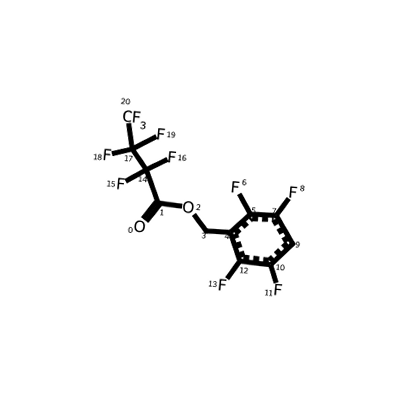 O=C(OCc1c(F)c(F)cc(F)c1F)C(F)(F)C(F)(F)C(F)(F)F